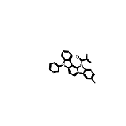 C=C(C)C(=O)n1c2ccc(C)cc2c2ccc3c(c4ccccc4n3-c3ccccc3)c21